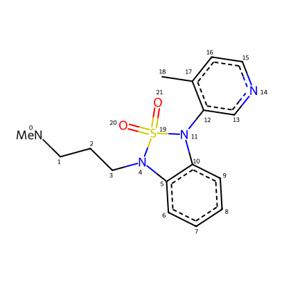 CNCCCN1c2ccccc2N(c2cnccc2C)S1(=O)=O